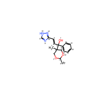 CCCC1OCC(C)(C(O)(C=Cc2nc[nH]n2)c2ccccc2)CO1